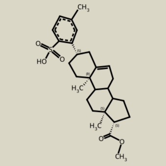 COC(=O)[C@H]1CCC2C3CC=C4C[C@@H](c5cc(C)ccc5S(=O)(=O)O)CC[C@]4(C)C3CC[C@@]21C